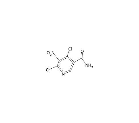 NC(=O)c1cnc(Cl)c([N+](=O)[O-])c1Cl